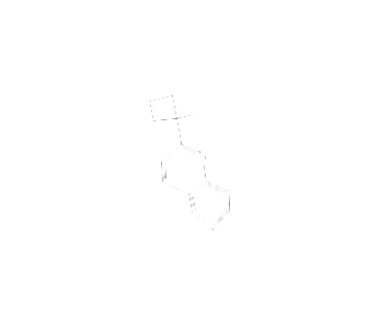 OC1(c2ccc3ccccc3n2)CCC1